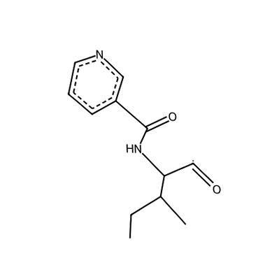 CCC(C)C([C]=O)NC(=O)c1cccnc1